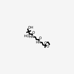 CC1(CCNC(=O)CCNC(=O)C(O)C(C)(C)CO)OCCO1